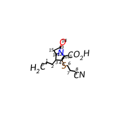 C=CCC1C(SCCCC#N)=C(C(=O)O)N2C(=O)CC12